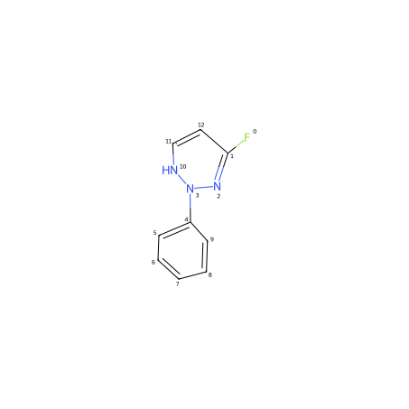 FC1=NN(c2ccccc2)N[C]=C1